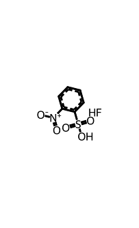 F.O=[N+]([O-])c1ccccc1S(=O)(=O)O